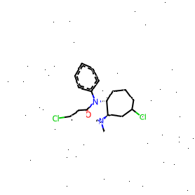 CN(C)[C@@H]1CC(Cl)CCC[C@H]1N(C(=O)CCCl)c1ccccc1